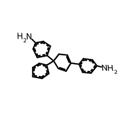 Nc1ccc(C2=CCC(c3ccccc3)(c3ccc(N)cc3)C=C2)cc1